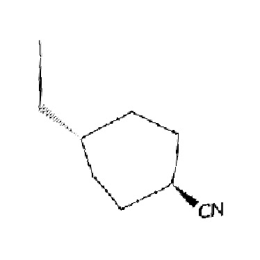 N#C[C@H]1CC[C@H](CI)CC1